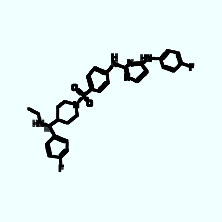 CCN[C@H](c1ccc(F)cc1)C1CCN(S(=O)(=O)c2ccc(Nc3nccc(Nc4ccc(F)cc4)n3)cc2)CC1